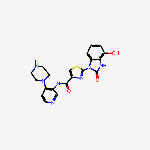 O=C(Nc1cnccc1N1CCNCC1)c1csc(-n2c(=O)[nH]c3c(O)cccc32)n1